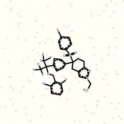 CCn1cc2c(n1)CCC(c1ccc(C(OCc3c(F)cccc3F)(C(F)(F)F)C(F)(F)F)cc1)(S(=O)(=O)c1ccc(F)cc1)C2